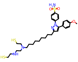 COc1ccc(-c2cc(CCCCCCCCCN(CCS)CCNCCS)nn2-c2ccc(S(N)(=O)=O)cc2)cc1